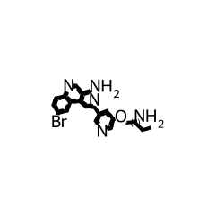 CC[C@@H](N)COc1cncc(-c2cc3c(cnc4ccc(Br)cc43)c(N)n2)c1